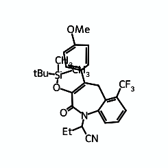 CCC(C#N)N1C(=O)C(O[Si](C)(C)C(C)(C)C)=C(c2ccc(OC)cc2)Cc2c1cccc2C(F)(F)F